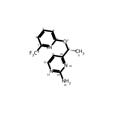 C[C@@H](Oc1cccc(C(F)(F)F)n1)c1ccnc(N)n1